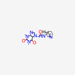 Cn1c(=O)c2c(ncn2CC(=O)N[C@H]2CN3CCC2CC3)n(C)c1=O